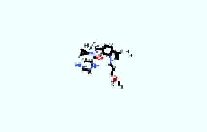 COCCCn1cc(C)c2ccc([C@H](C)N(C(=O)[C@H]3CNCCN3)C3CC3)cc21